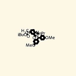 CCCc1nc2ccc(N(C)C(=O)OCC(C)C)cc2c(=O)n1C(c1ccc(OC)cc1)c1ccc(OC)cc1